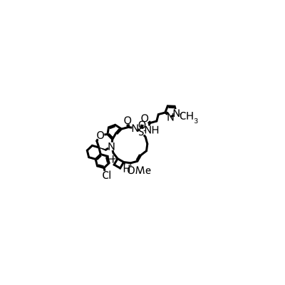 CO[C@H]1/C=C/CCC[S@@](=O)(NC(=O)CCc2ccn(C)n2)=NC(=O)c2ccc3c(c2)N(C[C@@H]2CC[C@H]21)C[C@@]1(CCCc2cc(Cl)ccc21)CO3